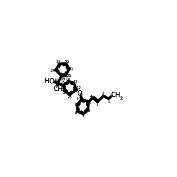 CCC/C=C/c1ccccc1Oc1ccc(C(C)(O)c2ccccc2)cc1